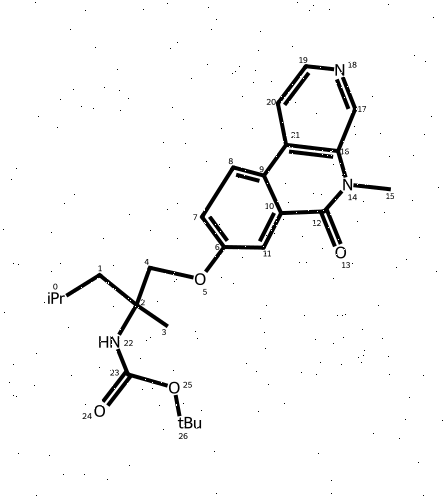 CC(C)CC(C)(COc1ccc2c(c1)c(=O)n(C)c1cnccc21)NC(=O)OC(C)(C)C